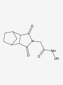 CCCNC(=O)CN1C(=O)C2C3CCC(C3)C2C1=O